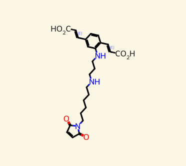 O=C(O)/C=C/c1ccc(/C=C/C(=O)O)c(NCCCNCCCCCCN2C(=O)C=CC2=O)c1